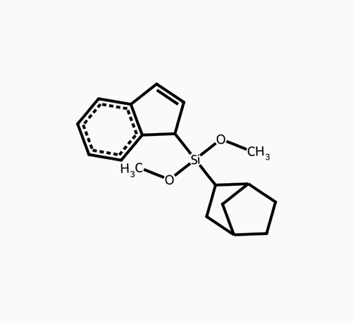 CO[Si](OC)(C1C=Cc2ccccc21)C1CC2CCC1C2